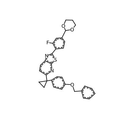 Fc1cc(C2OCCCO2)ccc1-c1nc2ccc(C3(c4ccc(OCc5ccccc5)cc4)CC3)nc2s1